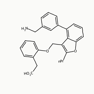 CCCc1oc2cccc(-c3cccc(CN)c3)c2c1COc1ccccc1CC(=O)O